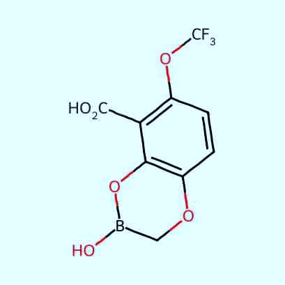 O=C(O)c1c(OC(F)(F)F)ccc2c1OB(O)CO2